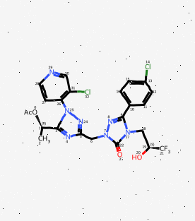 CC(=O)O[C@H](C)c1nc(Cn2nc(-c3ccc(Cl)cc3)n(C[C@H](O)C(F)(F)F)c2=O)nn1-c1ccncc1Cl